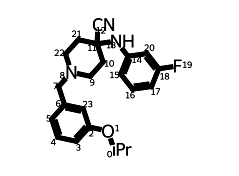 CC(C)Oc1cccc(CN2CCC(C#N)(Nc3cccc(F)c3)CC2)c1